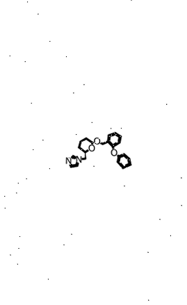 c1ccc(Oc2ccccc2CO[C@H]2CCC[C@H](Cn3ccnc3)O2)cc1